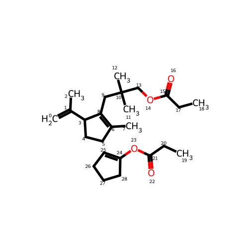 C=C(C)C1CCC(C)=C1CC(C)(C)COC(=O)CC.CCC(=O)OC1=CCCC1